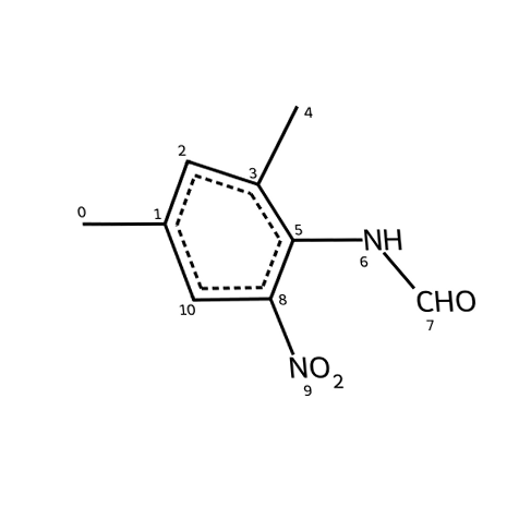 Cc1cc(C)c(NC=O)c([N+](=O)[O-])c1